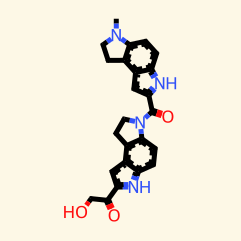 CN1CCc2c1ccc1[nH]c(C(=O)N3CCc4c3ccc3[nH]c(C(=O)CO)cc43)cc21